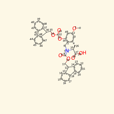 COc1ccc(CN(C(=O)OCC2c3ccccc3-c3ccccc32)[C@@H](C)C(=O)O)c(OC(=O)OCC2c3ccccc3-c3ccccc32)c1